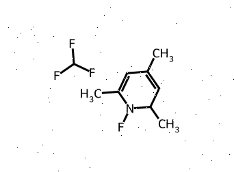 CC1=CC(C)N(F)C(C)=C1.FC(F)F